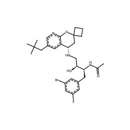 CC(=O)N[C@@H](Cc1cc(F)cc(Br)c1)[C@@H](O)CN[C@H]1CC2(CCC2)Oc2ncc(CC(C)(C)C)cc21